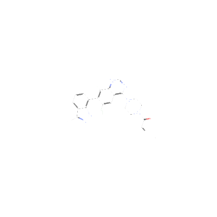 C=CC(=O)N1CCN(c2ncnc3c(F)c(-c4cccc5c(C)n[nH]c45)c(Cl)cc23)CC1